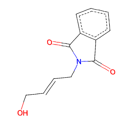 O=C1c2ccccc2C(=O)N1CC=CCO